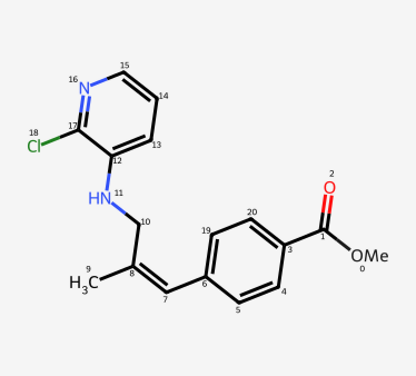 COC(=O)c1ccc(C=C(C)CNc2cccnc2Cl)cc1